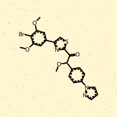 COc1cc(-c2csc(C(=O)C(OC)c3ccc(-n4cccn4)cc3)n2)cc(OC)c1Br